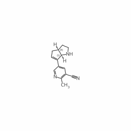 Cc1ncc(C2=CC[C@@H]3CCN[C@H]23)cc1C#N